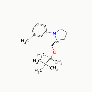 Cc1cccc(N2CCC[C@H]2CO[Si](C)(C)C(C)(C)C)c1